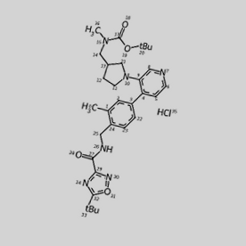 Cc1cc(-c2ccncc2N2CCC(CN(C)C(=O)OC(C)(C)C)C2)ccc1CNC(=O)c1noc(C(C)(C)C)n1.Cl